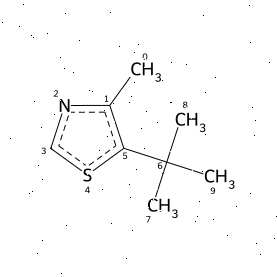 Cc1ncsc1C(C)(C)C